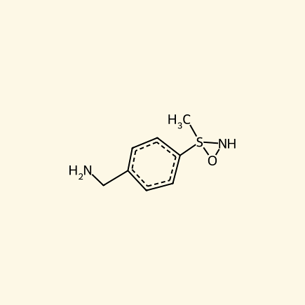 CS1(c2ccc(CN)cc2)NO1